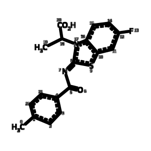 Cc1ccc(C(=O)N=c2sc3cc(F)ccc3n2C(C)C(=O)O)cc1